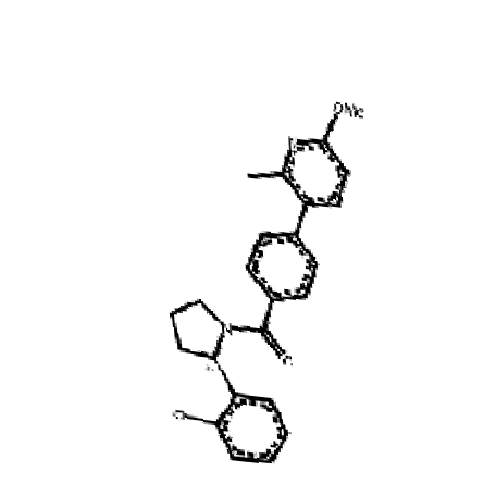 COc1ccc(-c2ccc(C(=O)N3CCC[C@@H]3c3ccccc3Cl)cc2)c(C)n1